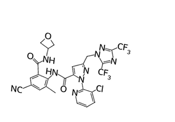 Cc1cc(C#N)cc(C(=O)NC2COC2)c1NC(=O)c1cc(Cn2nc(C(F)(F)F)nc2C(F)(F)F)nn1-c1ncccc1Cl